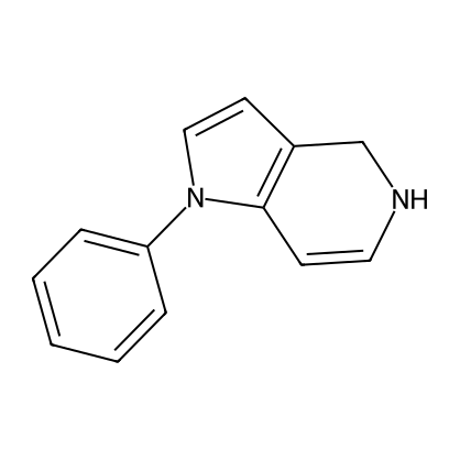 C1=Cc2c(ccn2-c2ccccc2)CN1